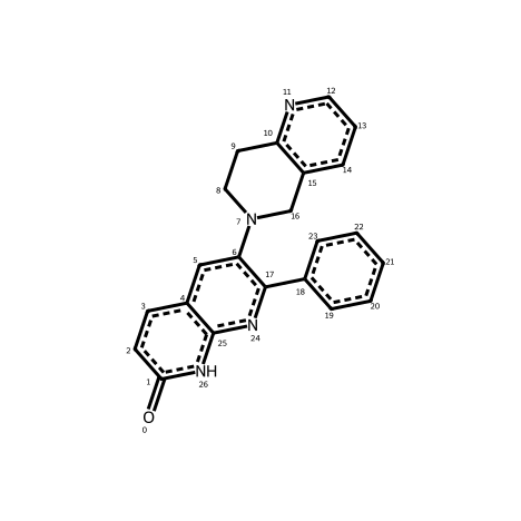 O=c1ccc2cc(N3CCc4ncccc4C3)c(-c3ccccc3)nc2[nH]1